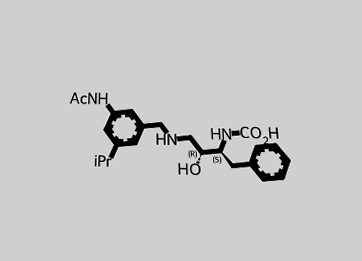 CC(=O)Nc1cc(CNC[C@@H](O)[C@H](Cc2ccccc2)NC(=O)O)cc(C(C)C)c1